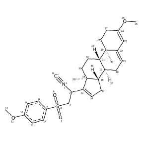 [C-]#[N+]C(CS(=O)(=O)c1ccc(OC)cc1)C1=CC[C@H]2[C@@H]3CC=C4C=C(OC)CC[C@]4(C)[C@H]3CC[C@]12C